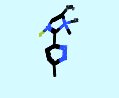 CC[N+]1(C)C([N+](=O)[O-])=C[N+]([S-])=C1c1ccc(C)nn1